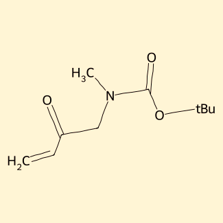 C=CC(=O)CN(C)C(=O)OC(C)(C)C